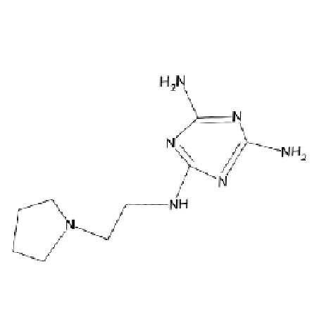 Nc1nc(N)nc(NCCN2CCCC2)n1